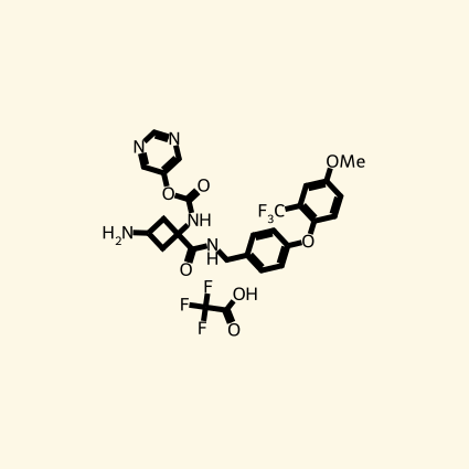 COc1ccc(Oc2ccc(CNC(=O)C3(NC(=O)Oc4cncnc4)CC(N)C3)cc2)c(C(F)(F)F)c1.O=C(O)C(F)(F)F